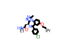 CCNC(=O)C[C@@H]1N=C(c2ccc(Cl)cc2)c2cc(OCCC(C)C)ccc2-n2c(C)nnc21